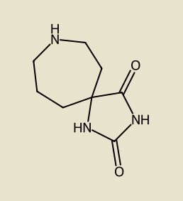 O=C1NC(=O)C2(CCCNCC2)N1